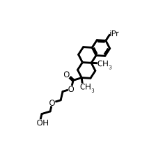 CC(C)c1ccc2c(c1)CCC1CC(C)(C(=O)OCCOCCO)CCC21C